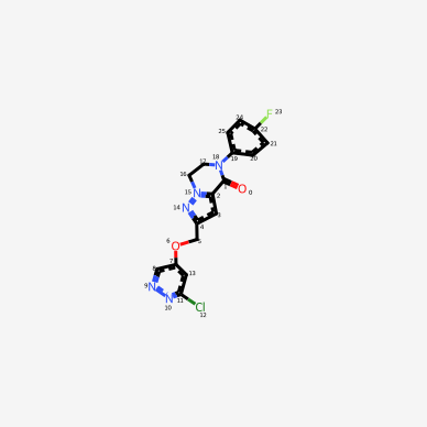 O=C1c2cc(COc3cnnc(Cl)c3)nn2CCN1c1ccc(F)cc1